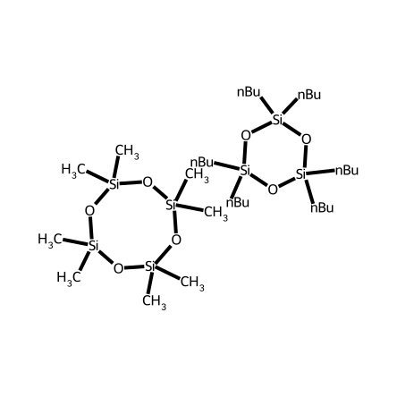 CCCC[Si]1(CCCC)O[Si](CCCC)(CCCC)O[Si](CCCC)(CCCC)O1.C[Si]1(C)O[Si](C)(C)O[Si](C)(C)O[Si](C)(C)O1